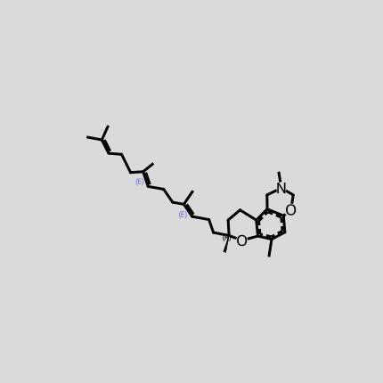 CC(C)=CCC/C(C)=C/CC/C(C)=C/CC[C@]1(C)CCc2c3c(cc(C)c2O1)OCN(C)C3